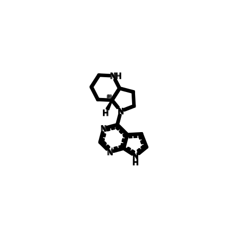 c1nc(N2CCC3NCCC[C@H]32)c2cc[nH]c2n1